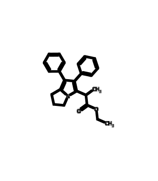 CCOC(=O)C(C)c1c(-c2ccccc2)c(-c2ccccc2)c2n1CCC2